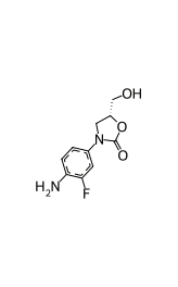 Nc1ccc(N2C[C@H](CO)OC2=O)cc1F